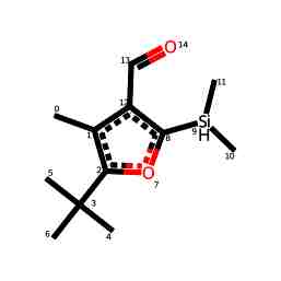 Cc1c(C(C)(C)C)oc([SiH](C)C)c1C=O